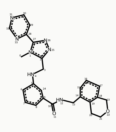 Cn1c(CNc2cccc(C(=O)NCc3cccc4c3CCOC4)c2)nnc1-c1ccncn1